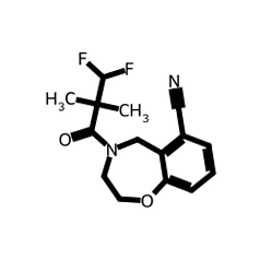 CC(C)(C(=O)N1CCOc2cccc(C#N)c2C1)C(F)F